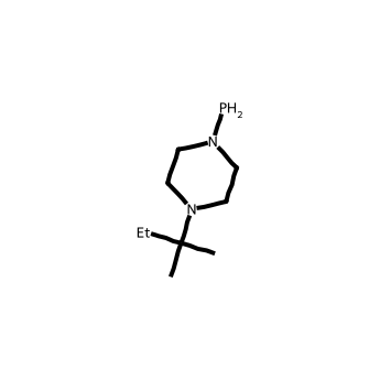 CCC(C)(C)N1CCN(P)CC1